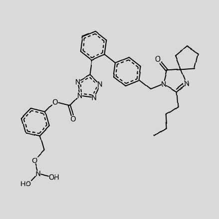 CCCCC1=NC2(CCCC2)C(=O)N1Cc1ccc(-c2ccccc2-c2nnn(C(=O)Oc3cccc(CON(O)O)c3)n2)cc1